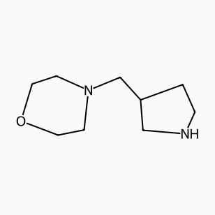 C1CC(CN2CCOCC2)CN1